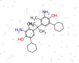 Cc1c(C(C)(C)c2cc(C3CCCCC3)c(O)c(N)c2C)cc(C2CCCCC2)c(O)c1N